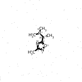 Cc1noc([C@@H](C)N(C)C)n1